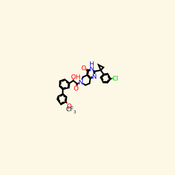 O=C([C@H](O)c1cccc(-c2cccc(OC(F)(F)F)c2)c1)N1CCc2nc(C3(c4cccc(Cl)c4)CC3)[nH]c(=O)c2C1